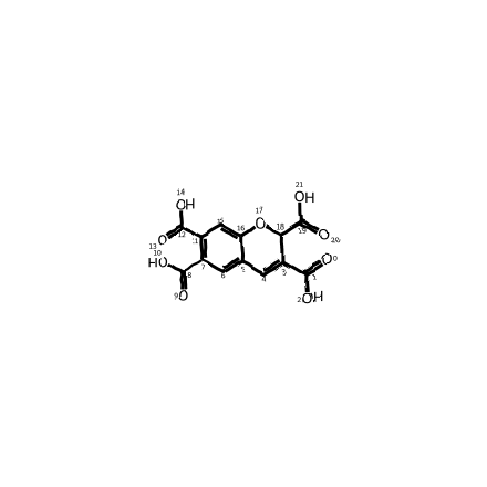 O=C(O)C1=Cc2cc(C(=O)O)c(C(=O)O)cc2OC1C(=O)O